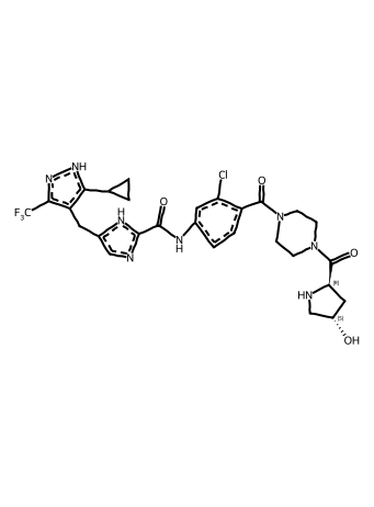 O=C(Nc1ccc(C(=O)N2CCN(C(=O)[C@H]3C[C@H](O)CN3)CC2)c(Cl)c1)c1ncc(Cc2c(C(F)(F)F)n[nH]c2C2CC2)[nH]1